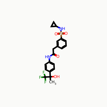 CC(O)(c1ccc(NC(=O)Cc2cccc(S(=O)(=O)NC3CC3)c2)cc1)C(F)(F)F